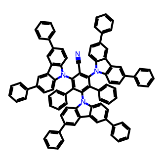 N#Cc1c(-n2c3ccc(-c4ccccc4)cc3c3cc(-c4ccccc4)ccc32)c(-c2ccccc2)c(-n2c3ccc(-c4ccccc4)cc3c3cc(-c4ccccc4)ccc32)c(-c2ccccc2)c1-n1c2ccc(-c3ccccc3)cc2c2cc(-c3ccccc3)ccc21